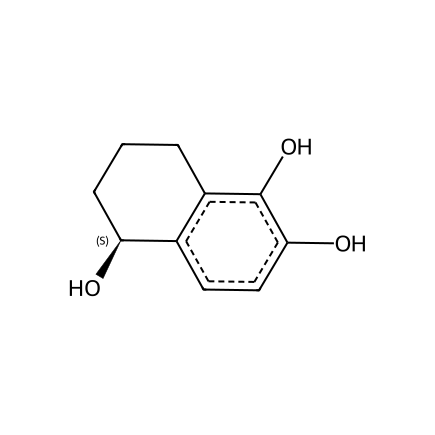 Oc1ccc2c(c1O)CCC[C@@H]2O